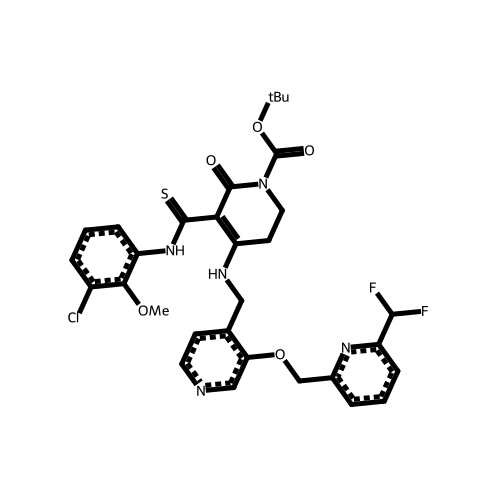 COc1c(Cl)cccc1NC(=S)C1=C(NCc2ccncc2OCc2cccc(C(F)F)n2)CCN(C(=O)OC(C)(C)C)C1=O